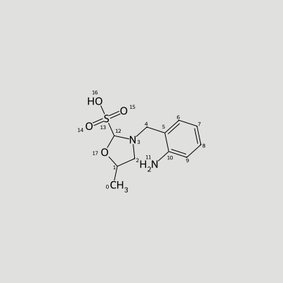 CC1CN(Cc2ccccc2N)C(S(=O)(=O)O)O1